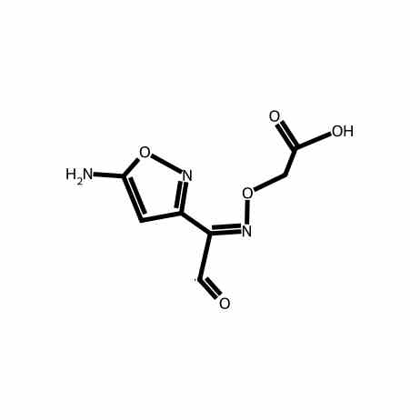 Nc1cc(/C([C]=O)=N\OCC(=O)O)no1